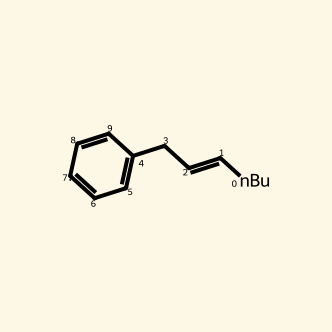 CCCCC=CCc1cc[c]cc1